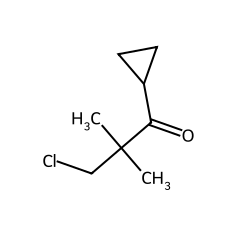 CC(C)(CCl)C(=O)C1CC1